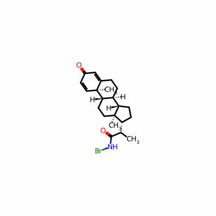 CC(C(=O)NBr)[C@H]1CC[C@H]2[C@@H]3CCC4=CC(=O)C=C[C@]4(C)[C@H]3CC[C@]12C